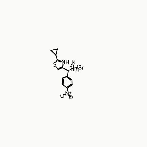 Br.Br.NC[C@@H](c1ccc([N+](=O)[O-])cc1)c1csc(C2CC2)n1